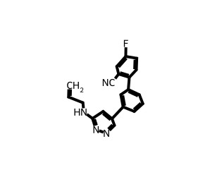 C=CCNc1cc(-c2cccc(-c3ccc(F)cc3C#N)c2)cnn1